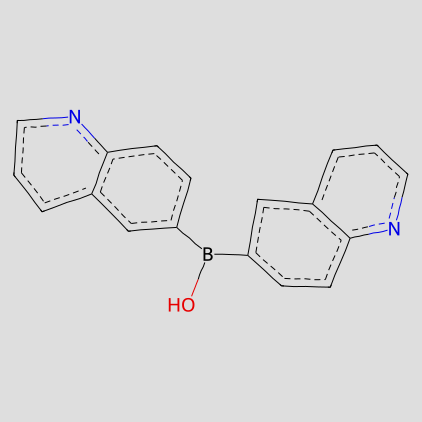 OB(c1ccc2ncccc2c1)c1ccc2ncccc2c1